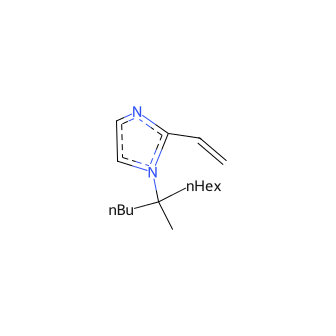 C=Cc1nccn1C(C)(CCCC)CCCCCC